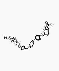 Cc1noc(COc2ccc(CN3CCN(c4ccc(OCC5CCn6cc([N+](=O)[O-])nc6O5)cc4)CC3)cc2)n1